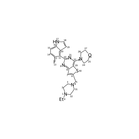 CCN1CCN(Cc2cc3nc(-c4c(F)ccc5[nH]ccc45)nc(N4CCOCC4)c3s2)CC1